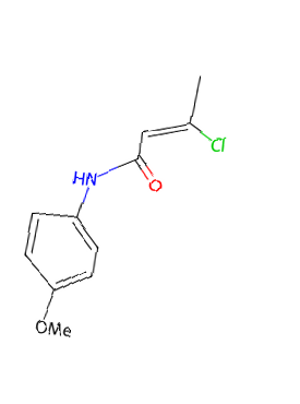 COc1ccc(NC(=O)/C=C(/C)Cl)cc1